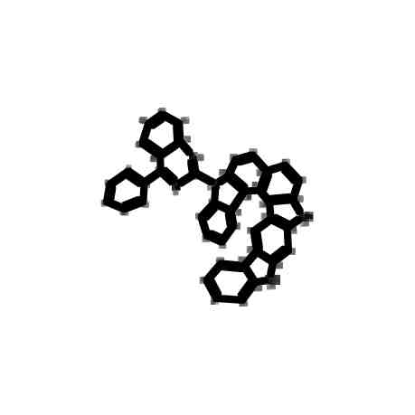 c1ccc(-c2nc(-n3c4ccccc4c4c5c(ccc6[nH]c7cc8[nH]c9ccccc9c8cc7c65)ccc43)nc3ccccc23)cc1